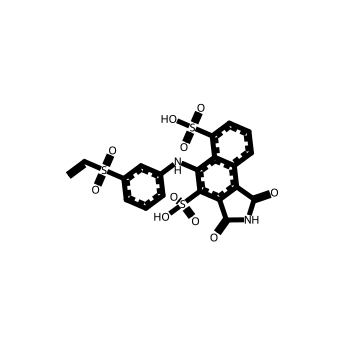 C=CS(=O)(=O)c1cccc(Nc2c(S(=O)(=O)O)c3c(c4cccc(S(=O)(=O)O)c24)C(=O)NC3=O)c1